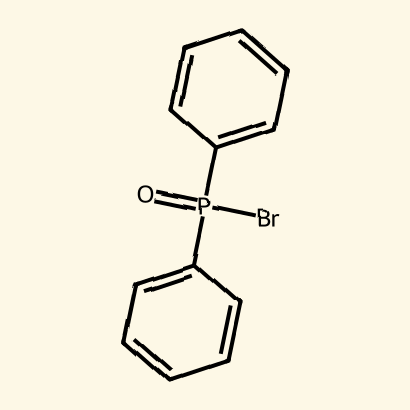 O=P(Br)(c1ccccc1)c1ccccc1